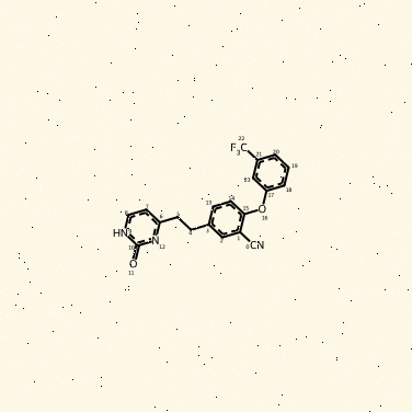 N#Cc1cc(CCc2cc[nH]c(=O)n2)ccc1Oc1cccc(C(F)(F)F)c1